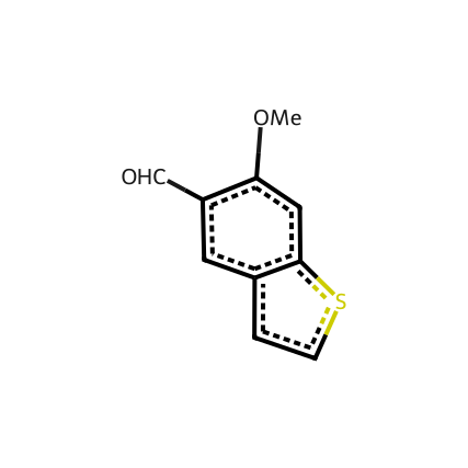 COc1cc2sccc2cc1C=O